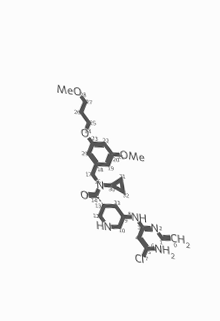 C=C/N=C(\C=C(/N)Cl)NC1CNC[C@H](C(=O)N(Cc2cc(OC)cc(OCCCOC)c2)C2CC2)C1